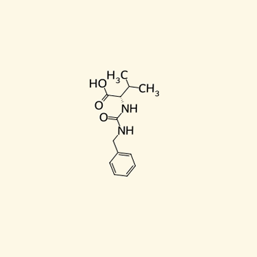 CC(C)[C@H](NC(=O)NCc1ccccc1)C(=O)O